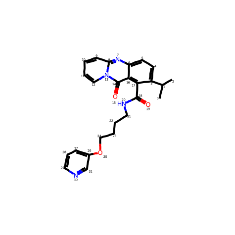 CC(C)c1ccc2nc3ccccn3c(=O)c2c1C(=O)NCCCCOc1cccnc1